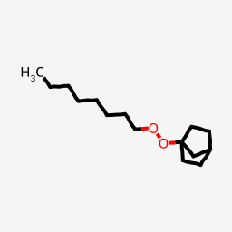 CCCCCCCCOOC12CCC(CC1)C2